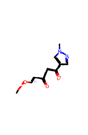 CO/C=C/C(=O)CC(=O)c1cnn(C)c1